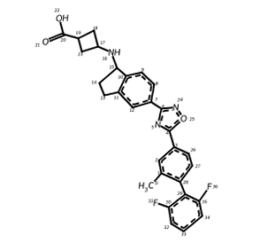 Cc1cc(-c2nc(-c3ccc4c(c3)CCC4NC3CC(C(=O)O)C3)no2)ccc1-c1c(F)cccc1F